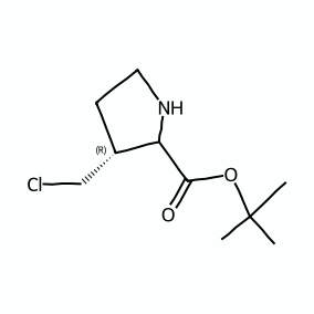 CC(C)(C)OC(=O)C1NCC[C@H]1CCl